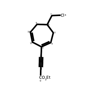 CCOC(=O)C#CC1=CCC(CCl)CC=C1